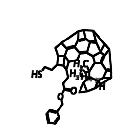 CC1(C)C2C3=C4C(C5=C3C3C5C5C6CC6[C@@H]1[C@H]35)C1C3C5=c6c7c8c9c(c6C2C451)CC1C(CCC(=O)OCc2ccccc2)C2C(CCS)C4CC(C=9C142)C8C73